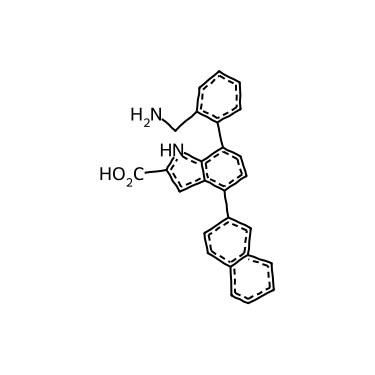 NCc1ccccc1-c1ccc(-c2ccc3ccccc3c2)c2cc(C(=O)O)[nH]c12